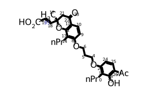 CCCc1c(OCCCOc2ccc3c(c2CCC)OC(C)(/C=C/C(=O)O)CC3=O)ccc(C(C)=O)c1O